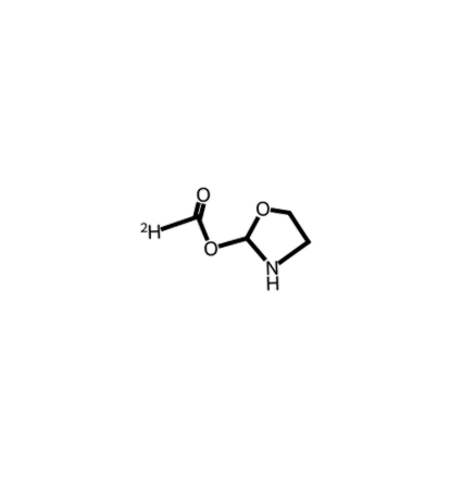 [2H]C(=O)OC1NCCO1